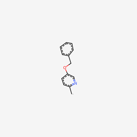 [CH2]c1ccc(OCc2ccccc2)cn1